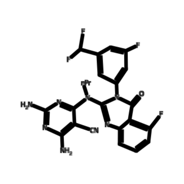 CCCN(c1nc(N)nc(N)c1C#N)c1nc2cccc(F)c2c(=O)n1-c1cc(F)cc(C(F)F)c1